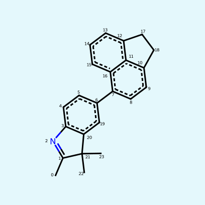 CC1=Nc2ccc(-c3ccc4c5c(cccc35)CC4)cc2C1(C)C